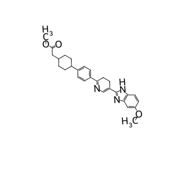 COC(=O)CC1CCC(c2ccc(C3=NC=C(c4nc5cc(OC)ccc5[nH]4)CC3)cc2)CC1